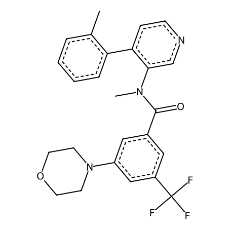 Cc1ccccc1-c1ccncc1N(C)C(=O)c1cc(N2CCOCC2)cc(C(F)(F)F)c1